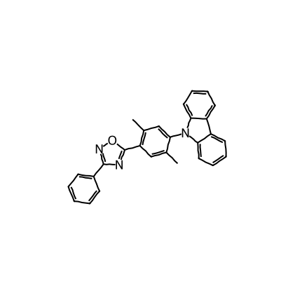 Cc1cc(-n2c3ccccc3c3ccccc32)c(C)cc1-c1nc(-c2ccccc2)no1